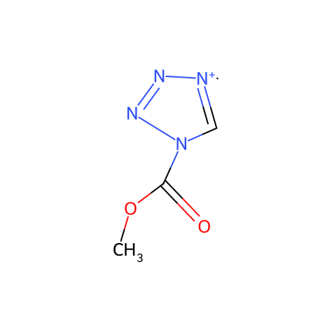 COC(=O)N1C=[N+]N=N1